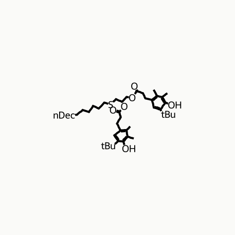 CCCCCCCCCCCCCCCCSCC(COC(=O)CCc1cc(C(C)(C)C)c(O)c(C)c1C)OC(=O)CCc1cc(C(C)(C)C)c(O)c(C)c1C